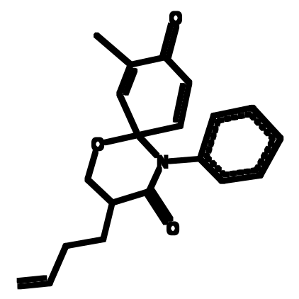 C=CCCC1COC2(C=CC(=O)C(C)=C2)N(c2ccccc2)C1=O